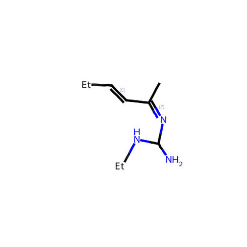 CC/C=C/C(C)=N\C(N)NCC